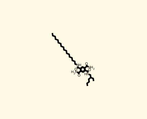 CCCCCCCCCCCCCCCCCCNC(=O)c1cc(C(N)=O)c(C(=O)NCC(CC)CCCC)cc1C(N)=O